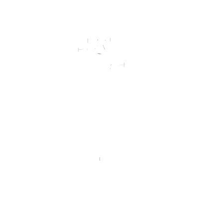 CCCCCCCCCCCCCCCCCCCCC(CC(=O)O)c1cc(C)c(O)c(C)c1